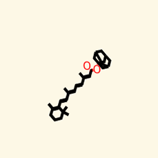 CC1=C(/C=C/C(C)=C/C=C/C(C)=C/C(=O)OC23CC4CC(CC(C4)C2)C3)C(C)(C)CCC1